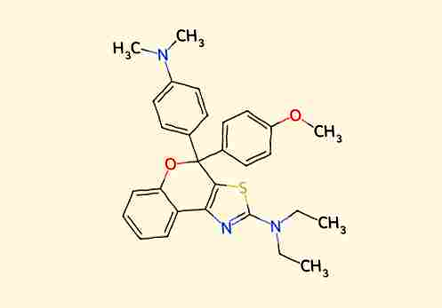 CCN(CC)c1nc2c(s1)C(c1ccc(OC)cc1)(c1ccc(N(C)C)cc1)Oc1ccccc1-2